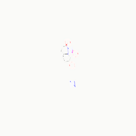 CCN(C)CCCCOc1ccc2ccc(=O)n(C=O)c2c1